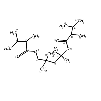 CC(C)C(N)C(=O)OCC(C)(C)CC(C)(C)OC(=O)C(N)C(C)C